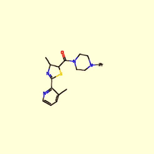 Cc1cccnc1C1=NC(C)C(C(=O)N2CCN(C(C)C)CC2)S1